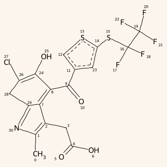 CC1=C(CC(=O)O)C2=C(C(=O)c3csc(SC(F)(F)C(F)(F)F)c3)C(O)=C(Cl)CC2=N1